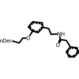 CCCCCCCCCCCCOc1cccc(CCNC(=O)Cc2ccccc2)c1